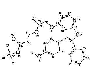 COc1ccc(-c2c(-c3ccccc3)oc3ncnc(OC[C@H](C)OCCC(=O)OC(C)(C)C)c23)cc1